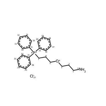 NCCCOCCC[P+](c1ccccc1)(c1ccccc1)c1ccccc1.[Cl-]